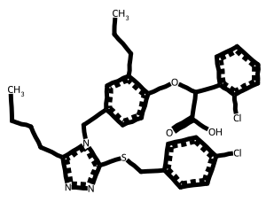 CCCCc1nnc(SCc2ccc(Cl)cc2)n1Cc1ccc(OC(C(=O)O)c2ccccc2Cl)c(CCC)c1